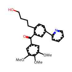 COc1cc(C(=O)c2cc(-c3ccccn3)ccc2CCCCO)cc(OC)c1OC